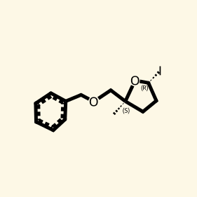 C[C@@]1(COCc2ccccc2)CC[C@@H](I)O1